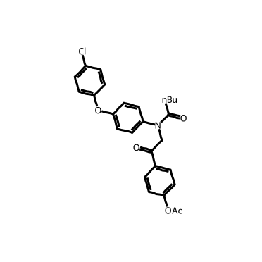 CCCCC(=O)N(CC(=O)c1ccc(OC(C)=O)cc1)c1ccc(Oc2ccc(Cl)cc2)cc1